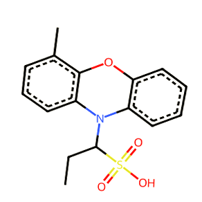 CCC(N1c2ccccc2Oc2c(C)cccc21)S(=O)(=O)O